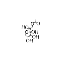 CC(=O)OC[C@H](O)[C@@]1(O)OCC(O)=C1O